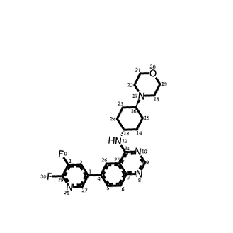 Fc1cc(-c2ccc3ncnc(N[C@H]4CC[C@H](N5CCOCC5)CC4)c3c2)cnc1F